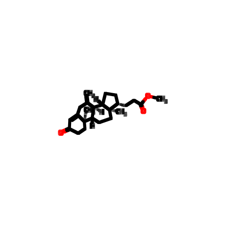 C=C1CC2=CC(=O)CC[C@]2(C)[C@H]2CC[C@]3(C)[C@@H](CCC(=O)OC)CC[C@H]3[C@H]12